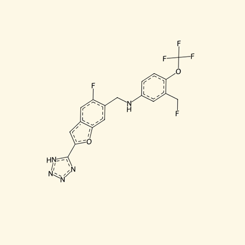 FCc1cc(NCc2cc3oc(-c4nnn[nH]4)cc3cc2F)ccc1OC(F)(F)F